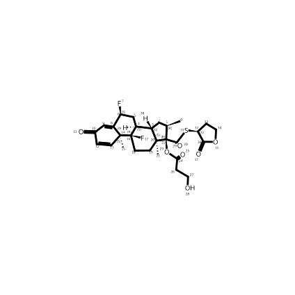 C[C@@H]1C[C@H]2[C@@H]3C[C@H](F)C4=CC(=O)C=C[C@]4(C)[C@@]3(F)CC[C@]2(C)[C@@]1(OC(=O)CCO)C(=O)S[C@H]1CCOC1=O